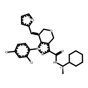 C[C@@H](NC(=O)c1nn(-c2ccc(Cl)cc2Cl)c2c1COC/C2=C\c1cccs1)C1CCCCC1